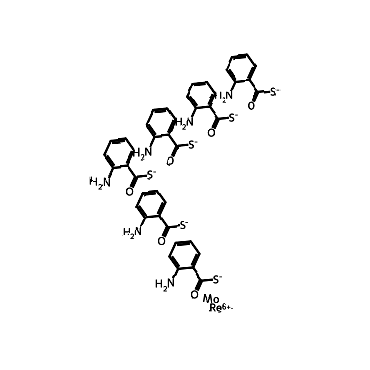 Nc1ccccc1C(=O)[S-].Nc1ccccc1C(=O)[S-].Nc1ccccc1C(=O)[S-].Nc1ccccc1C(=O)[S-].Nc1ccccc1C(=O)[S-].Nc1ccccc1C(=O)[S-].[Mo].[Re+6]